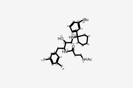 CC(=O)NCCC(=O)NC(Cc1cc(F)cc(F)c1)C(O)CNC1(c2cccc(C(C)(C)C)c2)CCCCC1